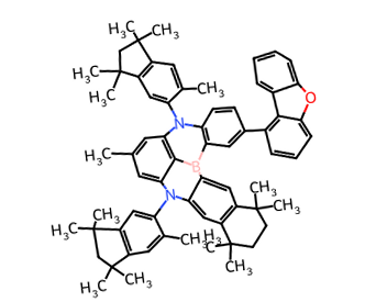 Cc1cc2c3c(c1)N(c1cc4c(cc1C)C(C)(C)CC4(C)C)c1cc4c(cc1B3c1cc(-c3cccc5oc6ccccc6c35)ccc1N2c1cc2c(cc1C)C(C)(C)CC2(C)C)C(C)(C)CCC4(C)C